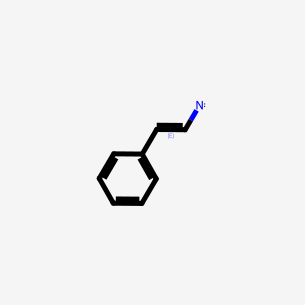 [N]/C=C/c1ccccc1